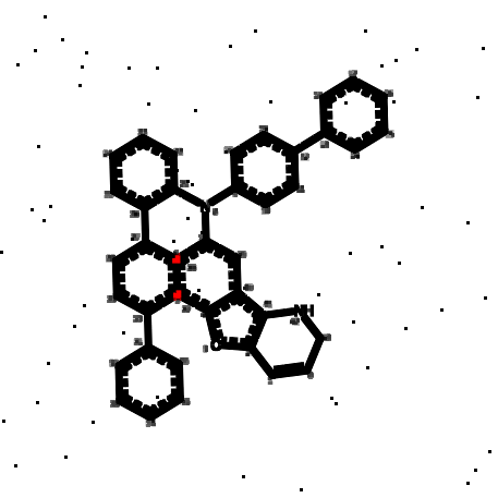 C1=Cc2oc3ccc(N(c4ccc(-c5ccccc5)cc4)c4ccccc4-c4ccc(-c5ccccc5)cc4)cc3c2NC1